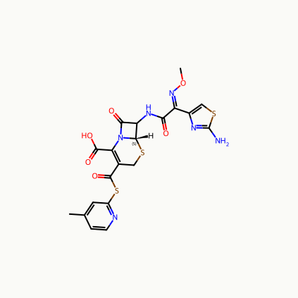 CON=C(C(=O)NC1C(=O)N2C(C(=O)O)=C(C(=O)Sc3cc(C)ccn3)CS[C@@H]12)c1csc(N)n1